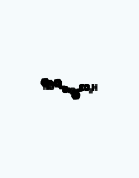 O=C(O)CCc1ccccc1OCCOCCc1cccc([C@H](O)Cc2ccccc2)c1